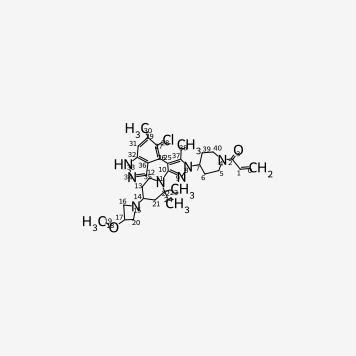 C=CC(=O)N1CCC(n2nc(N3CCC(N4CC(OC)C4)CC3(C)C)c(-c3c(Cl)c(C)cc4[nH]ncc34)c2C)CC1